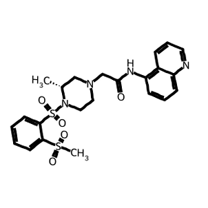 C[C@@H]1CN(CC(=O)Nc2cccc3ncccc23)CCN1S(=O)(=O)c1ccccc1S(C)(=O)=O